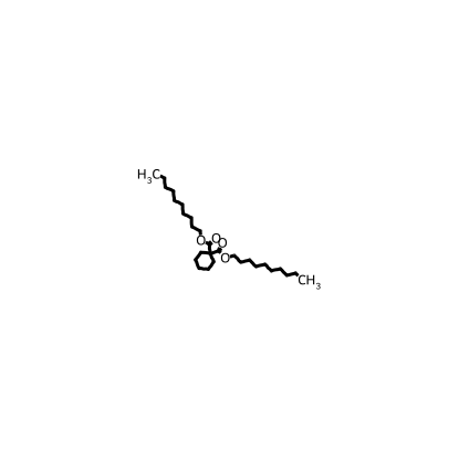 CCCCCCCCCCOC(=O)C1(C(=O)OCCCCCCCCCC)CCCCC1